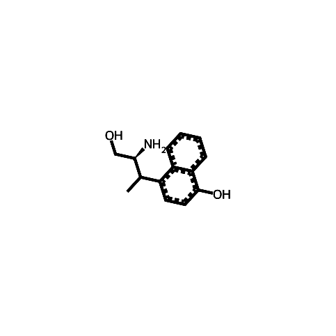 CC(c1ccc(O)c2ccccc12)[C@H](N)CO